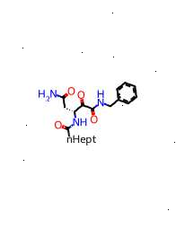 CCCCCCCC(=O)N[C@H](CC(N)=O)C(=O)C(=O)NCc1ccccc1